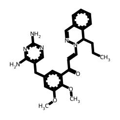 CCCC1c2ccccc2C=NN1/C=C/C(=O)c1cc(Cc2cnc(N)nc2N)cc(OC)c1OC